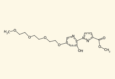 COCCOCCOCCOc1cnc(-n2ccc(C(=O)OC)n2)c(O)c1